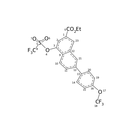 CCOC(=O)c1cc(OS(=O)(=O)C(F)(F)F)c2ccc(-c3ccc(OC(F)(F)F)cc3)cc2c1